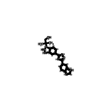 CC(C)(CO)N1NNc2cc(-c3noc(-c4ccc5nc[nH]c5c4)n3)ccc21